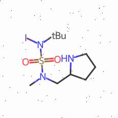 CN(CC1CCCN1)S(=O)(=O)N(I)C(C)(C)C